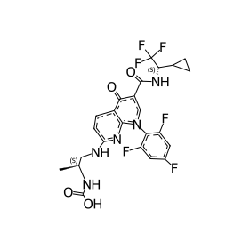 C[C@@H](CNc1ccc2c(=O)c(C(=O)N[C@@H](C3CC3)C(F)(F)F)cn(-c3c(F)cc(F)cc3F)c2n1)NC(=O)O